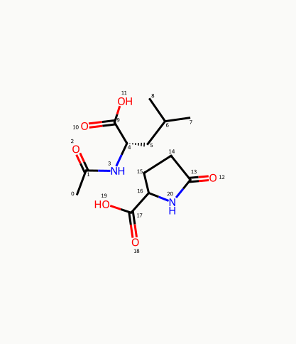 CC(=O)N[C@@H](CC(C)C)C(=O)O.O=C1CCC(C(=O)O)N1